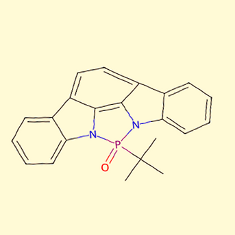 CC(C)(C)P1(=O)n2c3ccccc3c3ccc4c5ccccc5n1c4c32